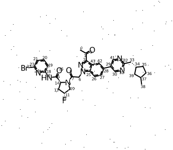 CC(=O)c1nn(CC(=O)N2C[C@H](F)C[C@H]2C(=O)Nc2cccc(Br)n2)c2ccc(-c3cnc(C[C@@H]4CCC(C)C4)nc3)cc12